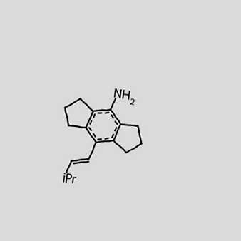 CC(C)/C=C/c1c2c(c(N)c3c1CCC3)CCC2